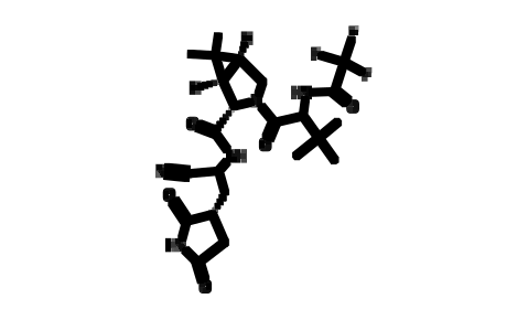 CC(C)(C)C(NC(=O)C(F)(F)F)C(=O)N1C[C@H]2[C@@H]([C@H]1C(=O)NC(C#N)C[C@@H]1CC(=O)NC1=O)C2(C)C